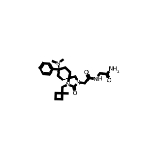 CN(C)[C@]1(c2ccccc2)CC[C@@]2(CC1)CN(CC(=O)NCC(N)=O)C(=O)N2CC1(C)CCC1